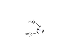 O=C(O)/C=C\C(=O)O.[Li]